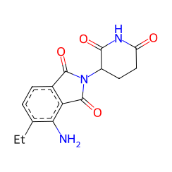 CCc1ccc2c(c1N)C(=O)N(C1CCC(=O)NC1=O)C2=O